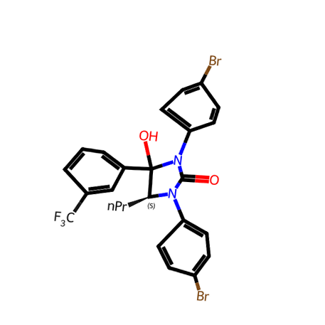 CCC[C@@H]1N(c2ccc(Br)cc2)C(=O)N(c2ccc(Br)cc2)C1(O)c1cccc(C(F)(F)F)c1